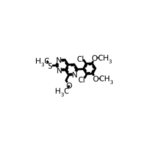 COCc1nc(-c2c(Cl)c(OC)cc(OC)c2Cl)cc2cnc(SC)nc12